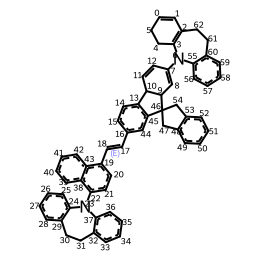 C1=CC2=C(CC1)N(C1=CC3C(C=C1)c1ccc(/C=C/c4ccc(N5c6ccccc6CCc6ccccc65)c5ccccc45)cc1C31Cc3ccccc3C1)c1ccccc1CC2